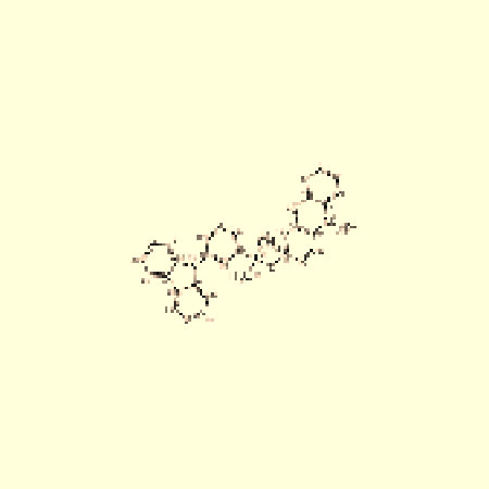 CC(C)N1c2ccccc2Sc2cc(CC(C)(C)c3cccc(-n4c5ccccc5c5ccccc54)c3)ccc21